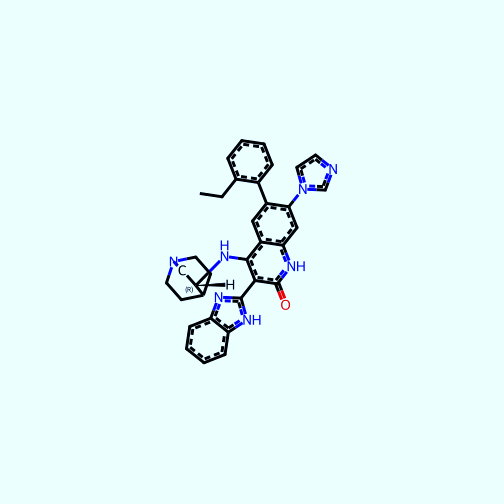 CCc1ccccc1-c1cc2c(N[C@H]3CN4CCC3CC4)c(-c3nc4ccccc4[nH]3)c(=O)[nH]c2cc1-n1ccnc1